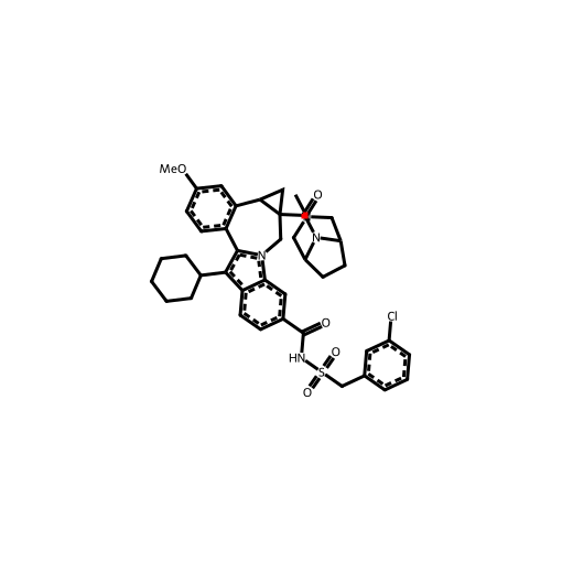 COc1ccc2c(c1)C1CC1(C(=O)N1C3CCC1CN(C)C3)Cn1c-2c(C2CCCCC2)c2ccc(C(=O)NS(=O)(=O)Cc3cccc(Cl)c3)cc21